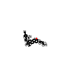 CC(C)C1=C2[C@H]3CCC4[C@@]5(C)CC[C@H](OC(=O)CC(C)(C)C(=O)O)C(C)(C)[C@@H]5CC[C@@]4(C)[C@]3(C)CC[C@@]2(c2nnc(-c3ncc(C#N)cn3)n2CCN(C)C)CC1=O